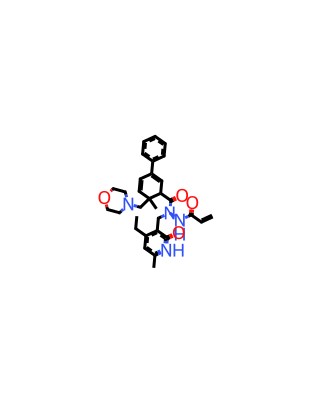 C=CC(=O)NN(Cc1c(CC)cc(C)[nH]c1=O)C(=O)C1C=C(c2ccccc2)C=CC1(C)CN1CCOCC1